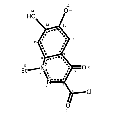 CCn1nc(C(=O)Cl)c(=O)c2cc(O)c(O)cc21